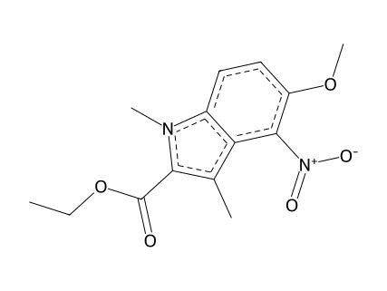 CCOC(=O)c1c(C)c2c([N+](=O)[O-])c(OC)ccc2n1C